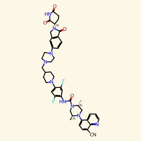 C[C@@H]1CN(c2ccc(C#N)c3ncccc23)[C@@H](C)CN1C(=O)Nc1cc(F)c(N2CCC(CN3CCN(c4ccc5c(c4)CN([C@H]4CCC(=O)NC4=O)C5=O)CC3)CC2)cc1F